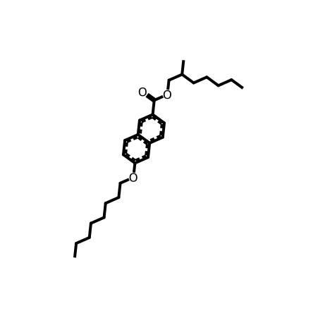 CCCCCCCCOc1ccc2cc(C(=O)OCC(C)CCCCC)ccc2c1